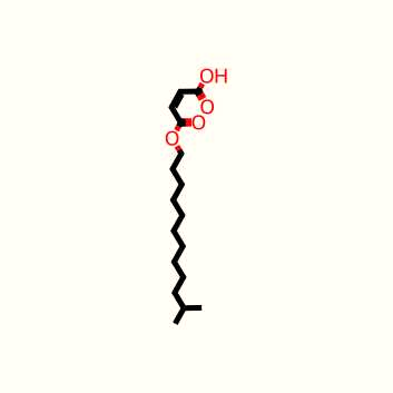 CC(C)CCCCCCCCCCOC(=O)/C=C\C(=O)O